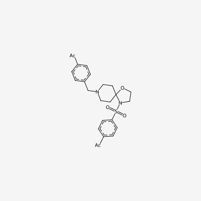 CC(=O)c1ccc(CN2CCC3(CC2)OCCN3S(=O)(=O)c2ccc(C(C)=O)cc2)cc1